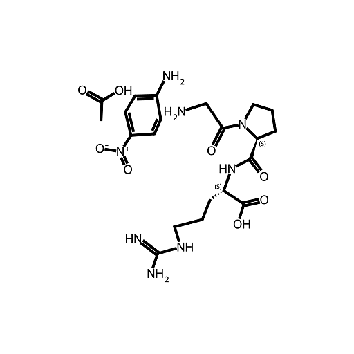 CC(=O)O.N=C(N)NCCC[C@H](NC(=O)[C@@H]1CCCN1C(=O)CN)C(=O)O.Nc1ccc([N+](=O)[O-])cc1